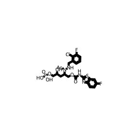 CC(=O)N(NCc1cccc(F)c1Cl)C(COC(=O)Nc1nc2ccc(F)cc2s1)CC(O)COP(=O)(O)O